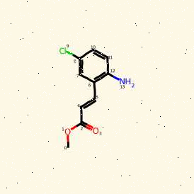 COC(=O)C=Cc1cc(Cl)ccc1N